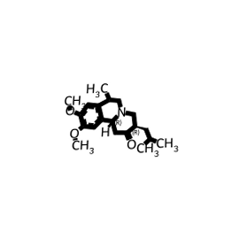 COc1cc2c(cc1OC)[C@H]1CC(=O)[C@H](CC(C)C)CN1CC2C